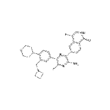 Nc1nc(F)c(-c2ccc(C3CCOCC3)c(CN3CCC3)c2)nc1-c1ccc2c(=O)[nH]cc(F)c2c1